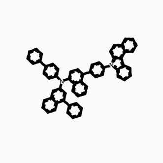 c1ccc(-c2ccc(N(c3cc(-c4ccccc4)c4ccccc4c3)c3ccc(-c4ccc(-n5c6ccccc6c6c7ccccc7ccc65)cc4)c4ccccc34)cc2)cc1